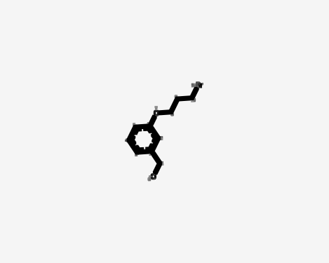 [O]Cc1cccc(OCCCBr)c1